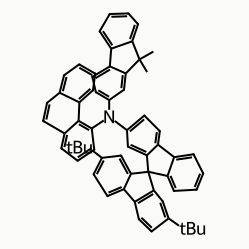 CC(C)(C)c1ccc2c(c1)C1(c3ccccc3-c3ccc(N(c4ccc5c(c4)C(C)(C)c4ccccc4-5)c4cccc5ccc6ccccc6c45)cc31)c1cc(C(C)(C)C)ccc1-2